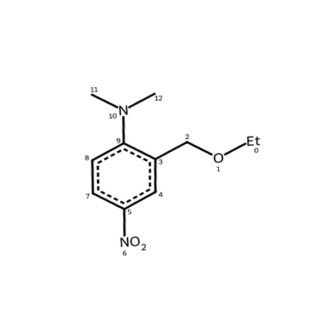 CCOCc1cc([N+](=O)[O-])ccc1N(C)C